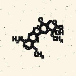 CCc1ccc(N)c2cc3c(nc12)-c1cc2c(c(=O)n1C3)COC(=O)C2(O)CC